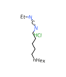 CCCCCCCCCCCN=C=NCC.Cl